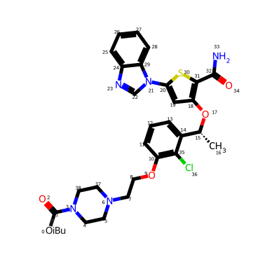 CC(C)COC(=O)N1CCN(CCOc2cccc([C@@H](C)Oc3cc(-n4cnc5ccccc54)sc3C(N)=O)c2Cl)CC1